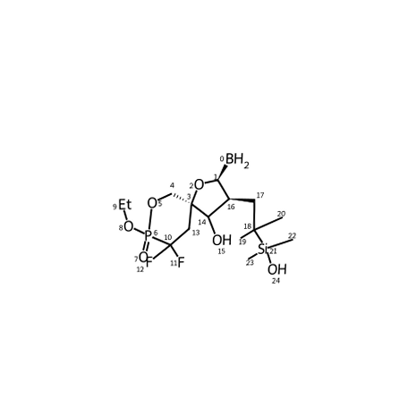 B[C@@H]1O[C@@]2(COP(=O)(OCC)C(F)(F)C2)C(O)[C@@H]1CC(C)(C)[Si](C)(C)O